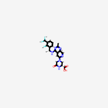 Cc1nc(N[C@H](C)c2cccc(C(F)F)c2F)c2cc(N3CC(=O)N[C@@H](C(=O)O)C3)ncc2n1